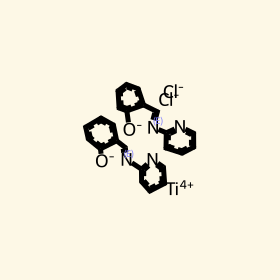 [Cl-].[Cl-].[O-]c1ccccc1/C=N/c1ccccn1.[O-]c1ccccc1/C=N/c1ccccn1.[Ti+4]